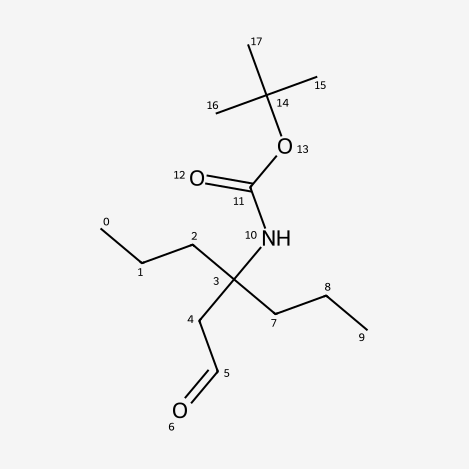 CCCC(CC=O)(CCC)NC(=O)OC(C)(C)C